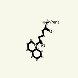 CCCCCNC(=O)CCCC(=O)N1CCCC2CCCCC21